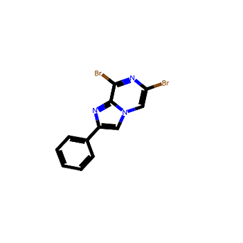 Brc1cn2cc(-c3ccccc3)nc2c(Br)n1